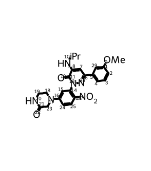 COc1cccc(-c2cc(NC(C)C)c(=O)n(-c3cc(N4CCNC(=O)C4)ccc3[N+](=O)[O-])n2)c1